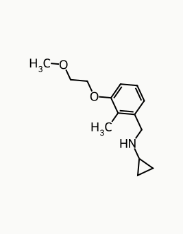 COCCOc1cccc(CNC2CC2)c1C